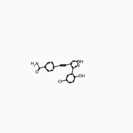 NC(=O)c1ccc(C#Cc2c[nH]nc2-c2cc(Cl)ccc2O)cc1